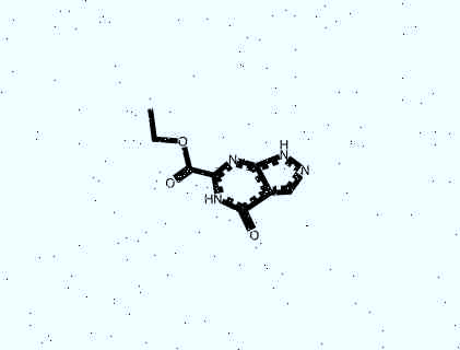 CCOC(=O)c1nc2[nH]ncc2c(=O)[nH]1